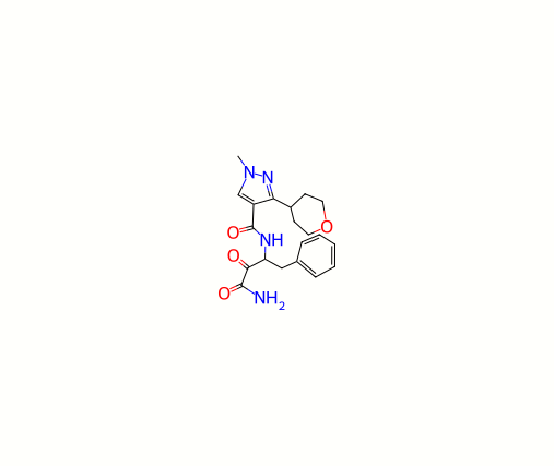 Cn1cc(C(=O)NC(Cc2ccccc2)C(=O)C(N)=O)c(C2CCOCC2)n1